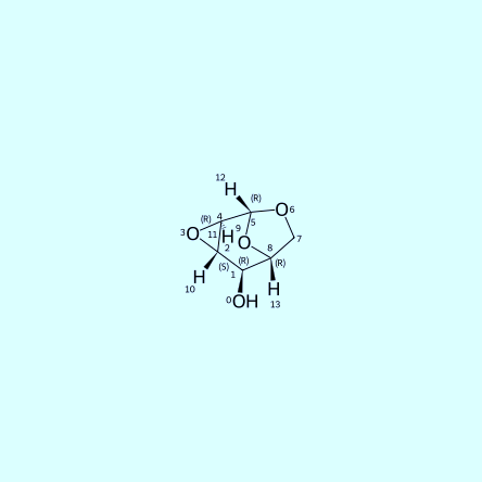 O[C@H]1[C@@H]2O[C@H]2[C@@H]2OC[C@H]1O2